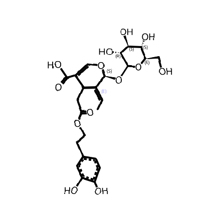 C/C=C1\C(CC(=O)OCCc2ccc(O)c(O)c2)C(C(=O)O)=CO[C@H]1OC1O[C@H](CO)[C@@H](O)[C@H](O)[C@H]1O